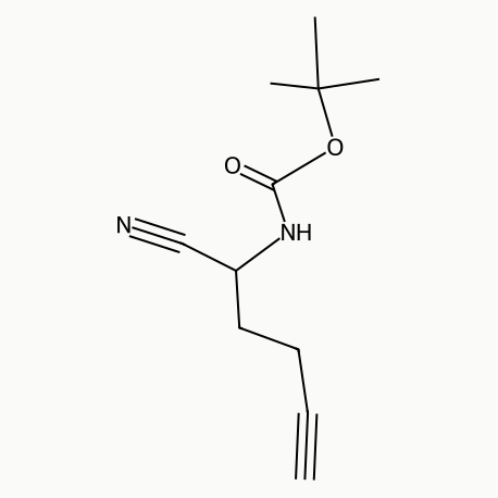 C#CCCC(C#N)NC(=O)OC(C)(C)C